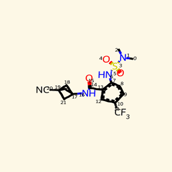 CN(C)S(=O)(=O)Nc1ccc(C(F)(F)F)cc1C(=O)NC12CC(C#N)(C1)C2